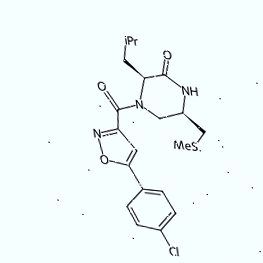 CSC[C@H]1CN(C(=O)c2cc(-c3ccc(Cl)cc3)on2)[C@@H](CC(C)C)C(=O)N1